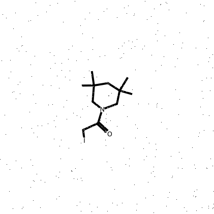 CC1(C)CN(C(=O)CI)CC(C)(C)C1